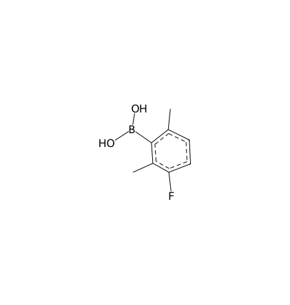 Cc1ccc(F)c(C)c1B(O)O